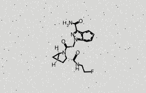 NC(=O)c1nn(CC(=O)N2[C@@H]3C[C@@H]3C[C@H]2C(=O)NCCF)c2ccccc12